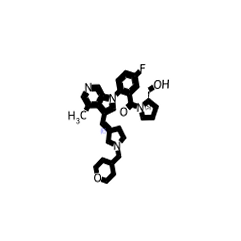 Cc1cncc2c1c(/C=C1\CCN(CC3CCOCC3)C1)cn2-c1ccc(F)cc1C(=O)N1CCC[C@H]1CO